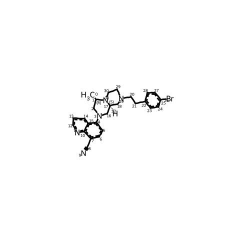 C[C@@H]1CN(c2ccc(C#N)c3ncccc23)C[C@@H]2CN(CCc3ccc(Br)cc3)CCN21